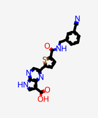 N#Cc1cccc(CNC(=O)c2ccc(-c3cnc4[nH]cc(C(=O)O)c4n3)s2)c1